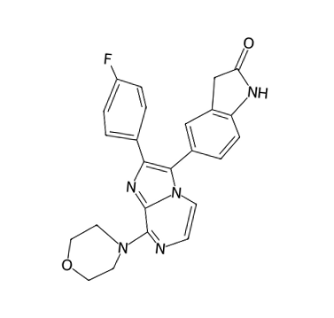 O=C1Cc2cc(-c3c(-c4ccc(F)cc4)nc4c(N5CCOCC5)nccn34)ccc2N1